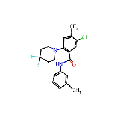 Cc1cccc(NC(=O)c2cc(Cl)c(C(F)(F)F)cc2N2CCC(F)(F)CC2)c1